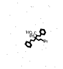 CC(C)CCC(CCc1ccccc1)(C(C)C)C(Cc1ccccc1)C(=O)O